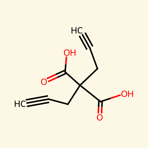 C#CCC(CC#C)(C(=O)O)C(=O)O